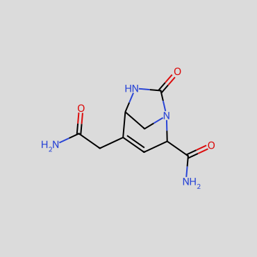 NC(=O)CC1=CC(C(N)=O)N2CC1NC2=O